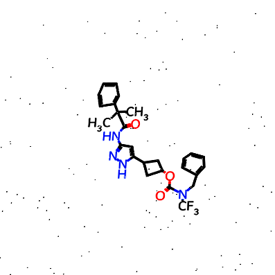 CC(C)(C(=O)Nc1cc(C2CC(OC(=O)N(Cc3ccccc3)C(F)(F)F)C2)[nH]n1)c1ccccc1